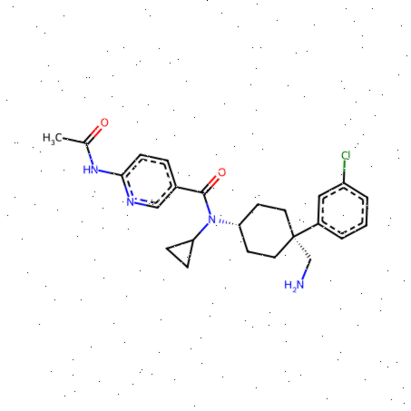 CC(=O)Nc1ccc(C(=O)N(C2CC2)[C@H]2CC[C@](CN)(c3cccc(Cl)c3)CC2)cn1